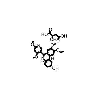 CCOc1cc2c(cc1OC)C(c1cnc(OC)cc1OC)=N[C@@H]1CC[C@@H](O)C[C@H]21.O=C(O)CC(O)C(=O)O